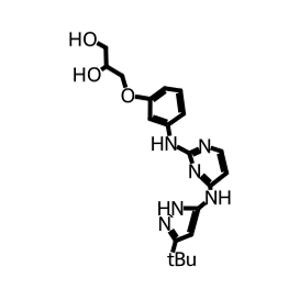 CC(C)(C)c1cc(Nc2ccnc(Nc3cccc(OCC(O)CO)c3)n2)[nH]n1